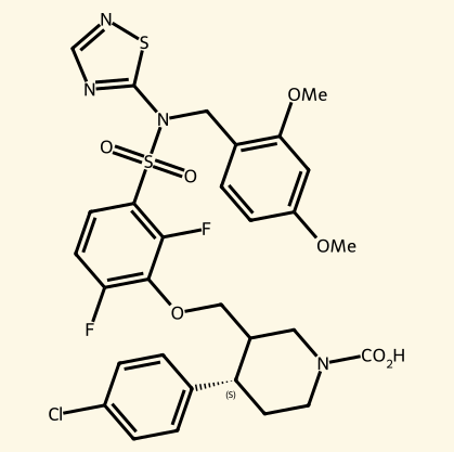 COc1ccc(CN(c2ncns2)S(=O)(=O)c2ccc(F)c(OCC3CN(C(=O)O)CC[C@@H]3c3ccc(Cl)cc3)c2F)c(OC)c1